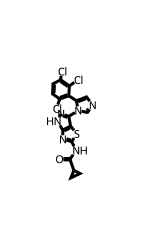 O=C(Nc1nc2[nH]nc(-n3cncc3-c3c(Cl)ccc(Cl)c3Cl)c2s1)C1CC1